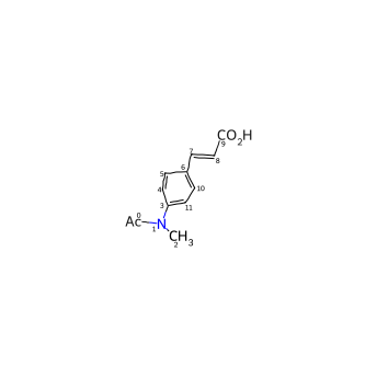 CC(=O)N(C)c1ccc(/C=C/C(=O)O)cc1